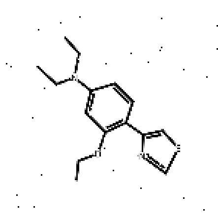 CCOc1cc(N(CC)CC)ccc1C1=CSC=[N+]1